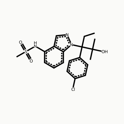 CCC(c1ccc(Cl)cc1)(n1ncc2c(NS(C)(=O)=O)cccc21)C(C)(C)O